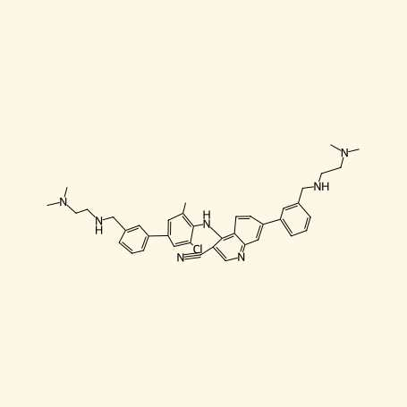 Cc1cc(-c2cccc(CNCCN(C)C)c2)cc(Cl)c1Nc1c(C#N)cnc2cc(-c3cccc(CNCCN(C)C)c3)ccc12